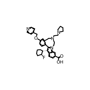 O=C(O)c1ccc2c([C@H]3CCCC[C@@H]3F)c3n(c2c1)CCN(CCN1CCCC1)Cc1cc(OCc2ccncc2)ccc1-3